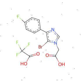 O=C(O)C(F)(F)F.O=C(O)Cn1cnc(-c2ccc(F)cc2)c1Br